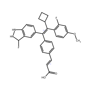 COc1ccc(/C(=C(\c2ccc(/C=C/C(=O)O)cc2)c2ccc3c(c2)C(F)NN3)C2CCC2)c(F)c1